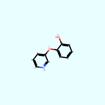 Oc1ccccc1Oc1cccnc1